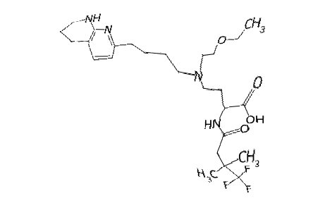 CCOCCN(CCCCc1ccc2c(n1)NCCC2)CCC(NC(=O)CC(C)(C)C(F)(F)F)C(=O)O